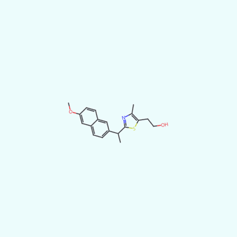 COc1ccc2cc(C(C)c3nc(C)c(CCO)s3)ccc2c1